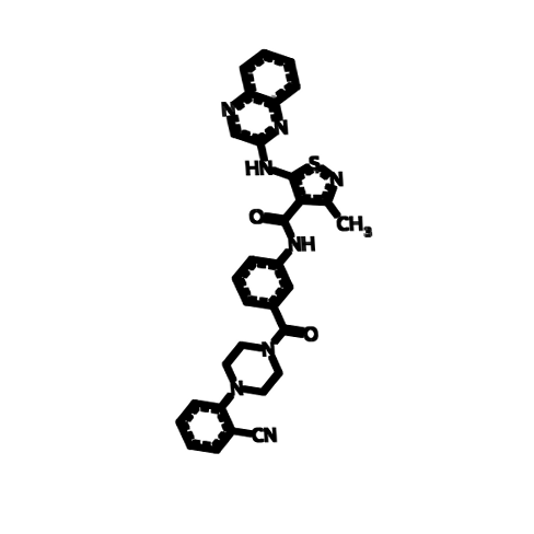 Cc1nsc(Nc2cnc3ccccc3n2)c1C(=O)Nc1cccc(C(=O)N2CCN(c3ccccc3C#N)CC2)c1